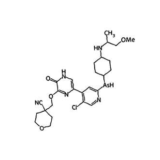 COCC(C)NC1CCC([AsH]c2cc(-c3c[nH]c(=O)c(OCC4(C#N)CCOCC4)n3)c(Cl)cn2)CC1